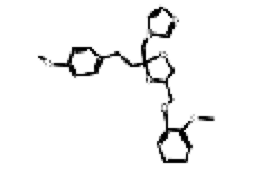 COc1ccc(CCC2(Cn3ccnc3)OCC(COc3ccccc3OC)O2)cc1